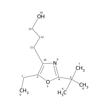 CCc1oc(C(C)(C)C)nc1CCCO